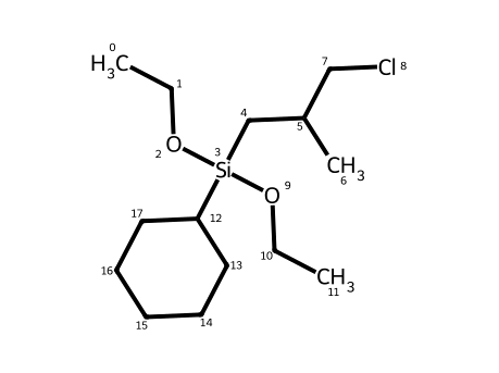 CCO[Si](CC(C)CCl)(OCC)C1CCCCC1